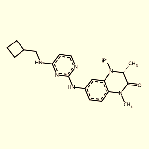 CC(C)N1c2cc(Nc3nccc(NCC4CCC4)n3)ccc2N(C)C(=O)[C@H]1C